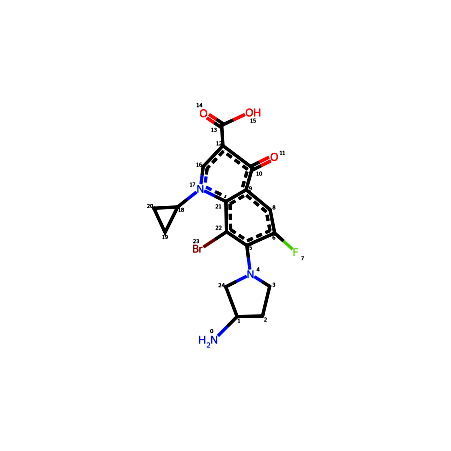 NC1CCN(c2c(F)cc3c(=O)c(C(=O)O)cn(C4CC4)c3c2Br)C1